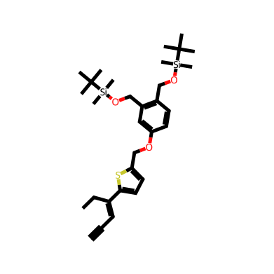 C#CC=C(CC)c1ccc(COc2ccc(CO[Si](C)(C)C(C)(C)C)c(CO[Si](C)(C)C(C)(C)C)c2)s1